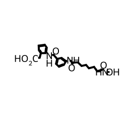 O=C(O)Cc1ccccc1NC(=O)c1cccc(NC(=O)CCCCCCC(=O)NO)c1